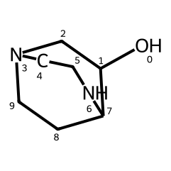 OC1CN2CCNC1CC2